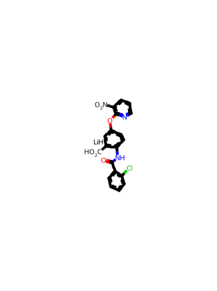 O=C(Nc1ccc(Oc2ncccc2[N+](=O)[O-])cc1C(=O)O)c1ccccc1Cl.[LiH]